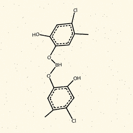 Cc1cc(OBOc2cc(C)c(Cl)cc2O)c(O)cc1Cl